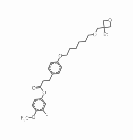 CCC1(COCCCCCCOc2ccc(CCC(=O)Oc3ccc(OC(F)(F)F)c(F)c3)cc2)COC1